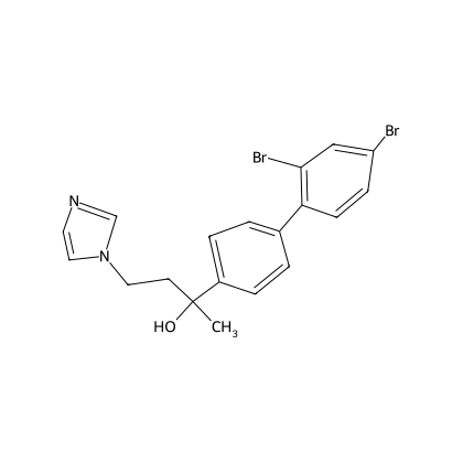 CC(O)(CCn1ccnc1)c1ccc(-c2ccc(Br)cc2Br)cc1